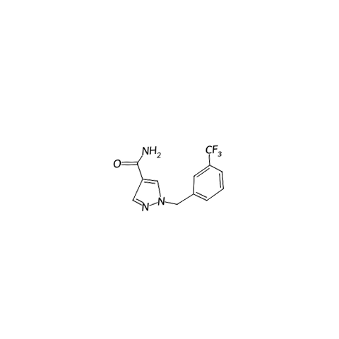 NC(=O)c1cnn(Cc2cccc(C(F)(F)F)c2)c1